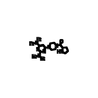 CCN(CC)c1cc(N2CCN(C(=O)C3CCCN3)CC2)nc(N(CC)CC)n1